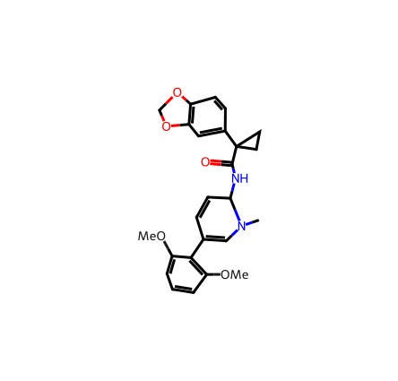 COc1cccc(OC)c1C1=CN(C)C(NC(=O)C2(c3ccc4c(c3)OCO4)CC2)C=C1